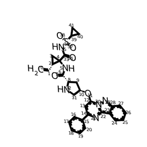 C=C[C@@H]1CC1(NC(=O)[C@@H]1C[C@@H](Oc2cc(-c3ccccc3)nc3c4ccccc4nn23)CN1)C(=O)NS(=O)(=O)C1CC1